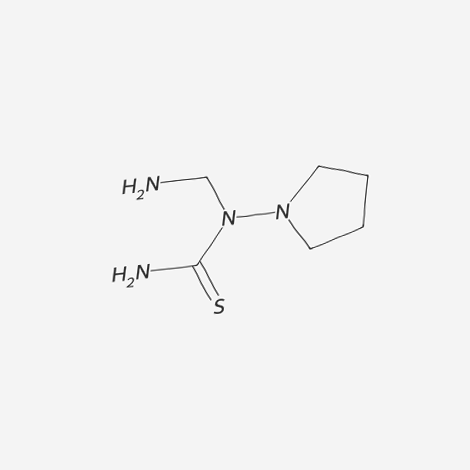 NCN(C(N)=S)N1CCCC1